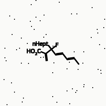 C=C(C(=O)O)C(F)(C=CC=CC)CCCCCCC